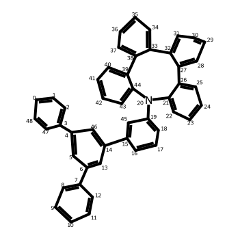 c1ccc(-c2cc(-c3ccccc3)cc(-c3cccc(-n4c5ccccc5c5ccccc5c5ccccc5c5ccccc54)c3)c2)cc1